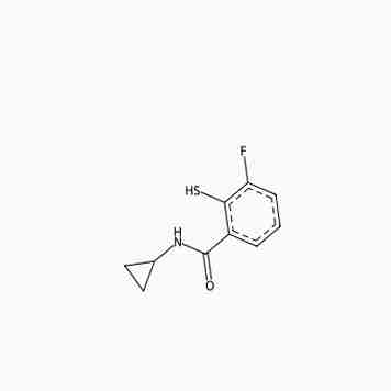 O=C(NC1CC1)c1cccc(F)c1S